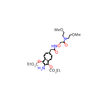 CCOC(=O)Oc1c2ccc(CC(=O)NOCC(=O)N(CCOC)CCOC)ccc-2c(OC(=O)OCC)c1N